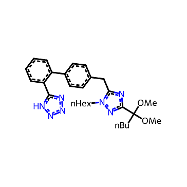 CCCCCCn1nc(C(CCCC)(OC)OC)nc1Cc1ccc(-c2ccccc2-c2nnn[nH]2)cc1